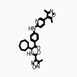 Cc1nonc1C(=O)N[C@H](C(=O)c1ccc(Nc2ccc(-c3c(C)noc3C)cn2)cc1)C1CCCCCC1